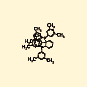 Cc1cc(C)cc(P(c2cc(C)cc(C)c2)C2C=CC=CC2(c2ccccc2)P(c2cc(C)cc(C)c2)c2cc(C)cc(C)c2)c1